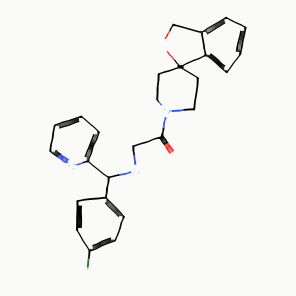 O=C(CNC(c1ccc(Cl)cc1)c1ccccn1)N1CCC2(CC1)OCc1ccccc12